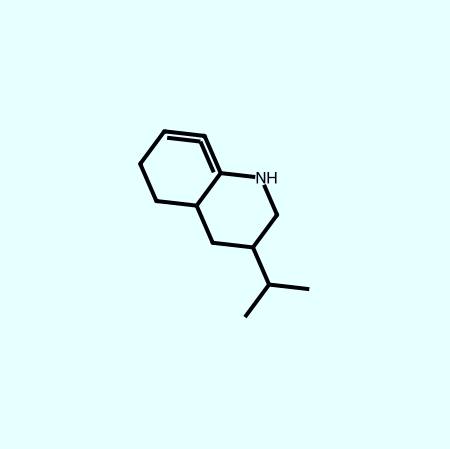 CC(C)C1CNC2=C=CCCC2C1